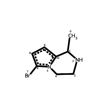 CC1NCCn2c(Br)ccc21